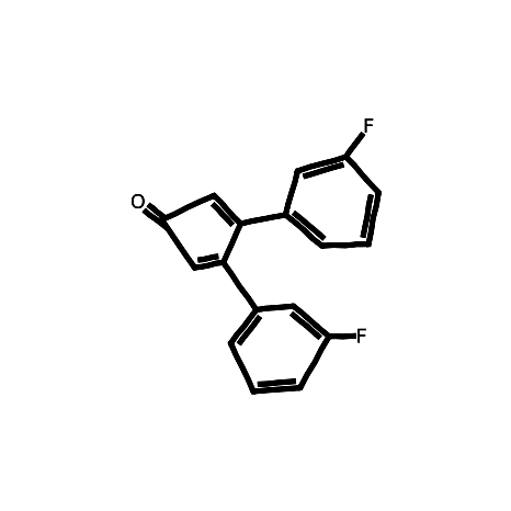 O=C1C=C(c2cccc(F)c2)C(c2cccc(F)c2)=C1